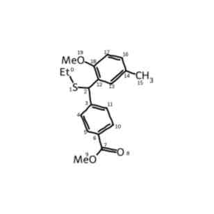 CCSC(c1ccc(C(=O)OC)cc1)c1cc(C)ccc1OC